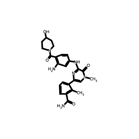 Cc1c(C(N)=O)cccc1-c1cn(C)c(=O)c(Nc2ccc(C(=O)N3CCC(O)CC3)c(N)c2)n1